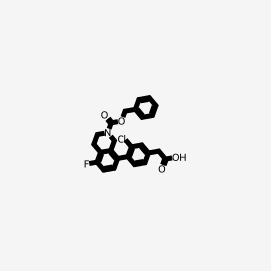 O=C(O)Cc1ccc(-c2ccc(F)c3c2CN(C(=O)OCc2ccccc2)CC3)c(Cl)c1